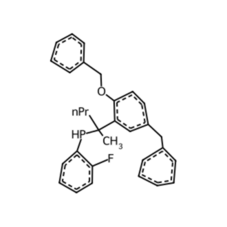 CCCC(C)(Pc1ccccc1F)c1cc(Cc2ccccc2)ccc1OCc1ccccc1